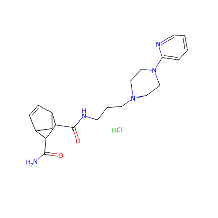 Cl.NC(=O)C1C2C=CC(C2)C1C(=O)NCCCN1CCN(c2ccccn2)CC1